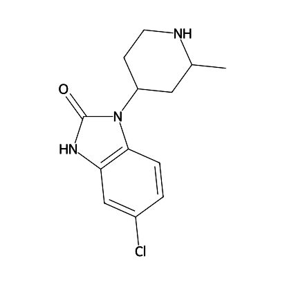 CC1CC(n2c(=O)[nH]c3cc(Cl)ccc32)CCN1